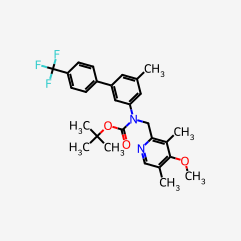 COc1c(C)cnc(CN(C(=O)OC(C)(C)C)c2cc(C)cc(-c3ccc(C(F)(F)F)cc3)c2)c1C